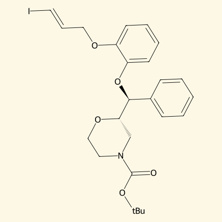 CC(C)(C)OC(=O)N1CCO[C@H]([C@@H](Oc2ccccc2OC/C=C/I)c2ccccc2)C1